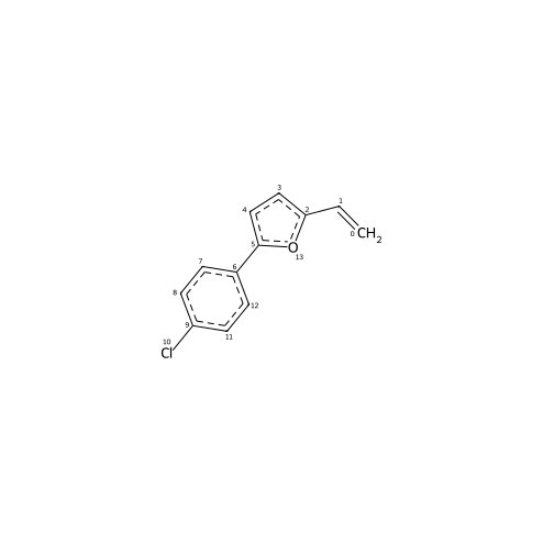 C=Cc1ccc(-c2ccc(Cl)cc2)o1